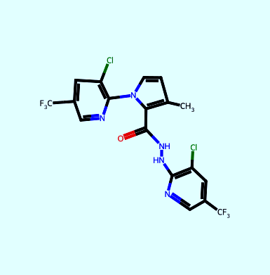 Cc1ccn(-c2ncc(C(F)(F)F)cc2Cl)c1C(=O)NNc1ncc(C(F)(F)F)cc1Cl